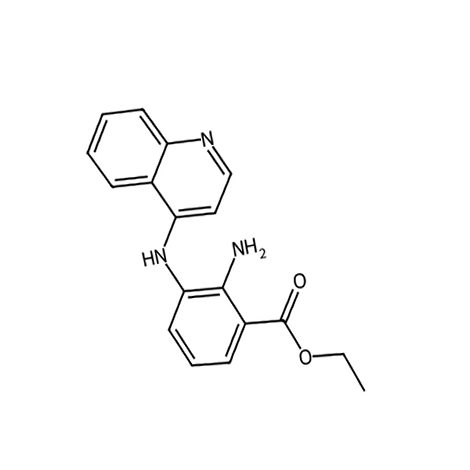 CCOC(=O)c1cccc(Nc2ccnc3ccccc23)c1N